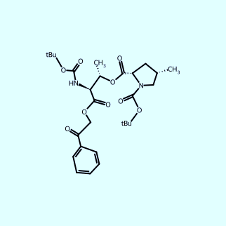 C[C@H]1C[C@@H](C(=O)O[C@@H](C)[C@H](NC(=O)OC(C)(C)C)C(=O)OCC(=O)c2ccccc2)N(C(=O)OC(C)(C)C)C1